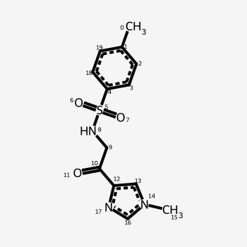 Cc1ccc(S(=O)(=O)NCC(=O)c2cn(C)cn2)cc1